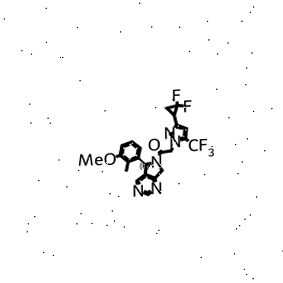 COc1cccc([C@@H]2c3cncnc3CN2C(=O)Cn2nc(C3CC3(F)F)cc2C(F)(F)F)c1C